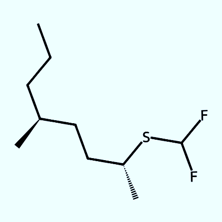 CCC[C@H](C)CC[C@@H](C)SC(F)F